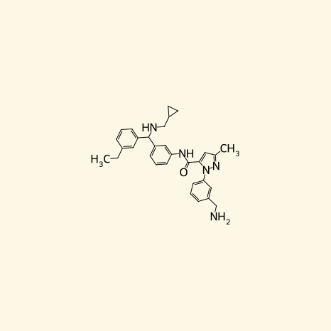 CCc1cccc(C(NCC2CC2)c2cccc(NC(=O)c3cc(C)nn3-c3cccc(CN)c3)c2)c1